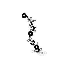 CCn1cc(C(=O)O)c(=O)c2cc(F)c(N3CCN(C(=O)OCc4ccc(NC(=O)[C@H](C)c5nnc([C@@H](NC(=O)OCc6ccccc6)C(C)C)s5)cc4)CC3)cc21